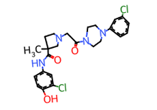 CC1(C(=O)Nc2ccc(O)c(Cl)c2)CCN(CC(=O)N2CCN(c3cccc(Cl)c3)CC2)C1